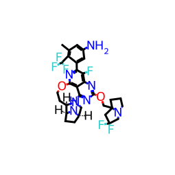 Cc1cc(N)cc(-c2nc3c4c(nc(OCC56CCCN5CC(F)(F)C6)nc4c2F)N2C[C@H]4CC[C@H](N4)[C@H]2CCO3)c1C(F)(F)F